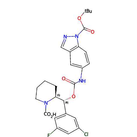 CC(C)(C)OC(=O)n1ncc2cc(NC(=O)O[C@H](c3cc(F)cc(Cl)c3)[C@@H]3CCCCN3C(=O)O)ccc21